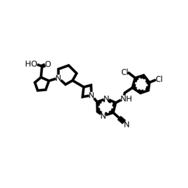 N#Cc1ncc(N2CC(C3CCCN(C4CCCC4C(=O)O)C3)C2)nc1NCc1ccc(Cl)cc1Cl